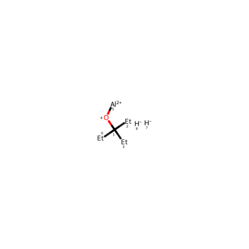 CCC(CC)(CC)[O][Al+2].[H-].[H-]